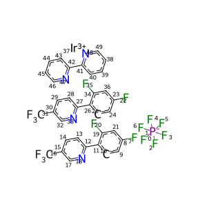 F[P-](F)(F)(F)(F)F.Fc1c[c-]c(-c2ccc(C(F)(F)F)cn2)c(F)c1.Fc1c[c-]c(-c2ccc(C(F)(F)F)cn2)c(F)c1.[Ir+3].c1ccc(-c2ccccn2)nc1